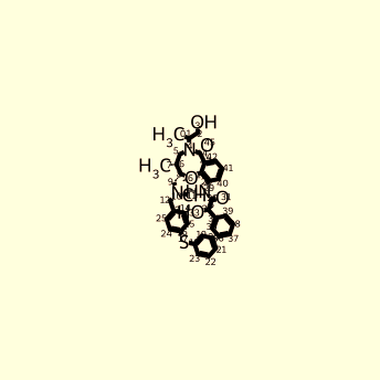 CC(CO)N1C[C@@H](C)[C@@H](CN(C)Cc2ccc(Sc3ccccc3)cc2)Oc2c(NC(=O)C(O)c3ccccc3)cccc2C1=O